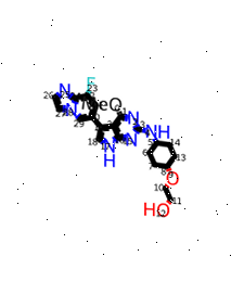 COc1nc(NC2CCC(OCCO)CC2)nc2[nH]cc(-c3cc(F)c4nccn4c3)c12